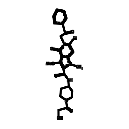 CCc1cc2c(c(OC)c(C(=O)NC3CCN(C(=O)CO)CC3)n2C)c(=O)n1CC(=O)c1ccccc1